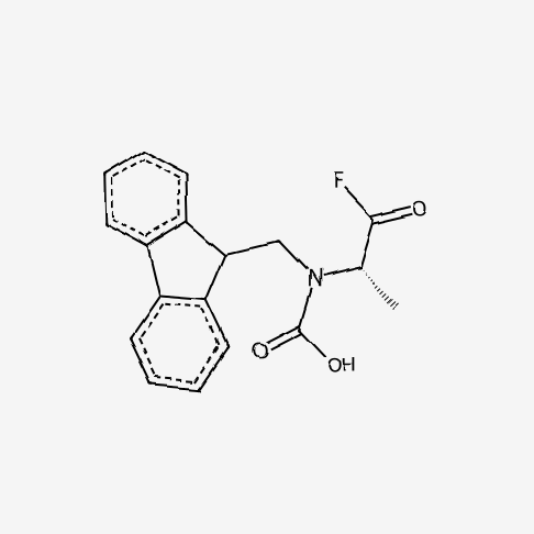 C[C@@H](C(=O)F)N(CC1c2ccccc2-c2ccccc21)C(=O)O